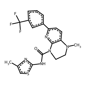 Cc1csc(NC(=O)N2CCN(C)c3ccc(-c4cccc(C(F)(F)F)c4)nc32)n1